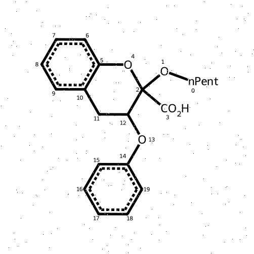 CCCCCOC1(C(=O)O)Oc2ccccc2CC1Oc1ccccc1